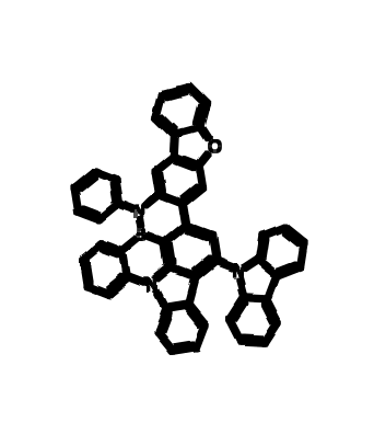 c1ccc(N2B3c4ccccc4-n4c5ccccc5c5c(-n6c7ccccc7c7ccccc76)cc(c3c54)-c3cc4oc5ccccc5c4cc32)cc1